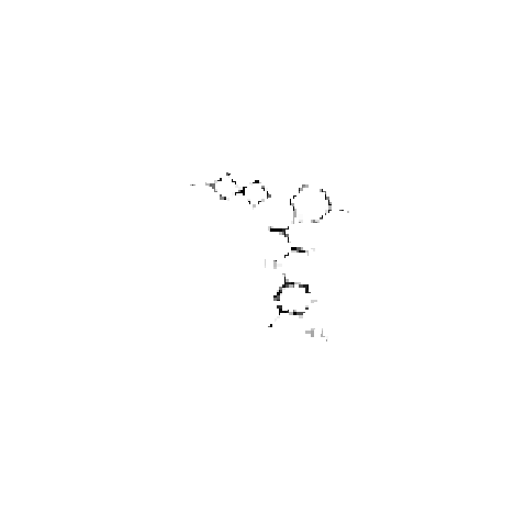 Cc1cc(NC(=O)C(=O)N2C[C@H](C)CC[C@H]2C2CC3(CC(O)C3)C2)cnc1N